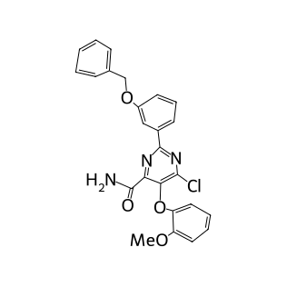 COc1ccccc1Oc1c(Cl)nc(-c2cccc(OCc3ccccc3)c2)nc1C(N)=O